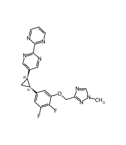 Cn1cnc(COc2cc([C@H]3C[C@H]3c3cnc(-c4ncccn4)nc3)cc(F)c2F)n1